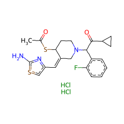 CC(=O)SC1CCN(C(C(=O)C2CC2)c2ccccc2F)C/C1=C/c1csc(N)n1.Cl.Cl